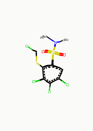 CCCCN(CCCC)S(=O)(=O)c1cc(Cl)c(Cl)c(Cl)c1SCCl